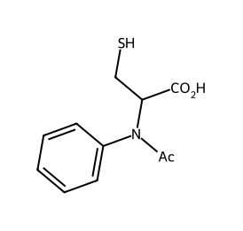 CC(=O)N(c1ccccc1)C(CS)C(=O)O